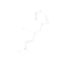 CCCCCC(=C\c1ccccc1)/C=C(\C)C(N)=O